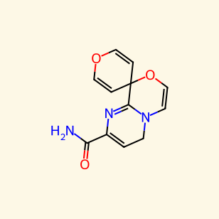 NC(=O)C1=CCN2C=COC3(C=COC=C3)C2=N1